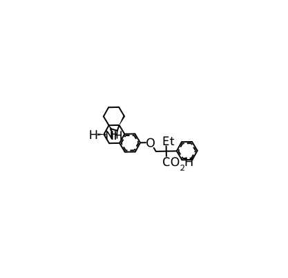 CCC(COc1ccc2c(c1)[C@@]13CCCC[C@H]1[C@@H](C2)NCC3)(C(=O)O)c1ccccc1